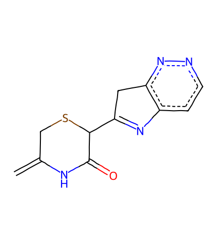 C=C1CSC(C2=Nc3ccnnc3C2)C(=O)N1